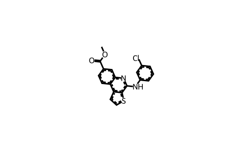 COC(=O)c1ccc2c(c1)nc(Nc1cccc(Cl)c1)c1sccc12